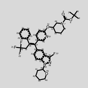 CC(C)(C)OC(=O)N1CCCC(Oc2ccc(/C(=C(/CC(F)(F)F)c3ccccc3)c3ccc4c(c3)c(F)nn4C3CCCCO3)cn2)C1